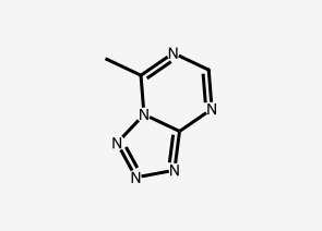 Cc1ncnc2nnnn12